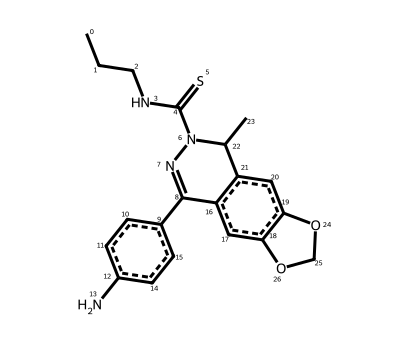 CCCNC(=S)N1N=C(c2ccc(N)cc2)c2cc3c(cc2C1C)OCO3